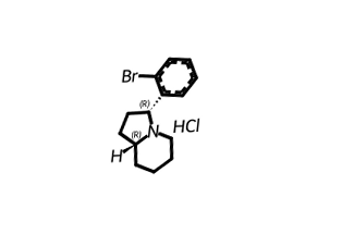 Brc1ccccc1[C@H]1CC[C@H]2CCCCN21.Cl